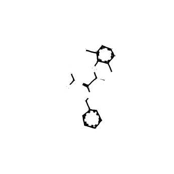 Cc1cccc(C)c1N[C@@H](C)C(=O)OCc1ccccc1.NCC(=O)O